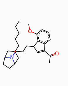 CCCCCC1CC2CCC(C1)N2CCCC1C=C(C(C)=O)c2cccc(OC)c21